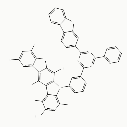 Bc1cc(B)c2sc3c(B)c4c(c(B)c3c2c1)c1c(B)c(B)cc(B)c1n4-c1cccc(-c2nc(-c3ccccc3)nc(-c3ccc4c(c3)oc3ccccc34)n2)c1